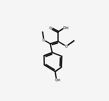 COC(C(=O)O)=C(OC)c1ccc(O)cc1